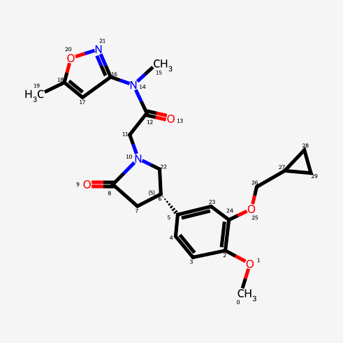 COc1ccc([C@@H]2CC(=O)N(CC(=O)N(C)c3cc(C)on3)C2)cc1OCC1CC1